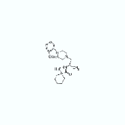 COc1ccccc1N1CCN(CC(C)NC(=O)C2(C)CCCCC2)CC1